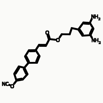 N#COc1ccc(-c2ccc(/C=C/C(=O)OCCCc3cc(N)cc(N)c3)cc2)cc1